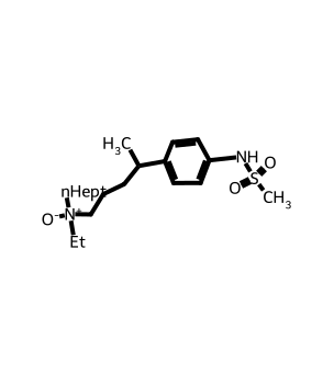 CCCCCCC[N+]([O-])(CC)CCCC(C)c1ccc(NS(C)(=O)=O)cc1